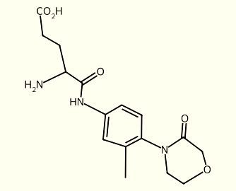 Cc1cc(NC(=O)C(N)CCC(=O)O)ccc1N1CCOCC1=O